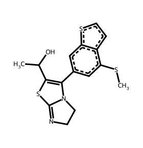 CSc1cc(C2=C(C(C)O)SC3=NCCN32)cc2sccc12